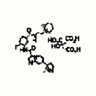 C[C@@H]1CCC[C@H](C)N1CCNC(=O)c1ccc(F)c(NC(=O)c2cnc3cc(-c4ccnn4C)ccn23)c1.O=C(O)CC(O)(CC(=O)O)C(=O)O